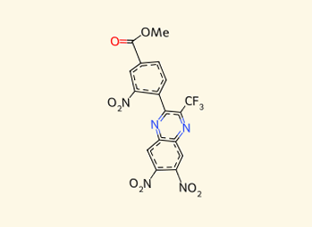 COC(=O)c1ccc(-c2nc3cc([N+](=O)[O-])c([N+](=O)[O-])cc3nc2C(F)(F)F)c([N+](=O)[O-])c1